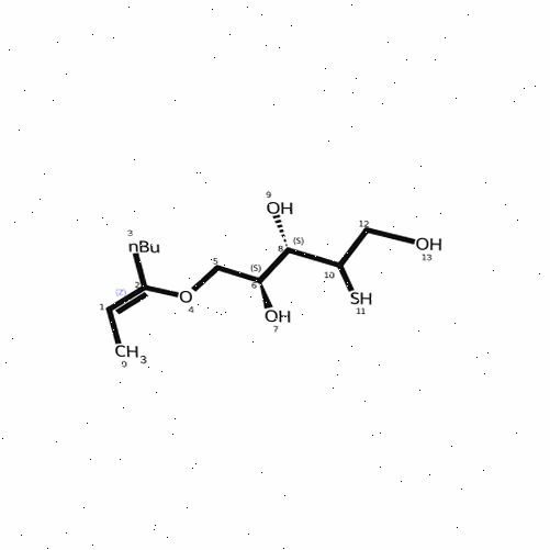 C/C=C(/CCCC)OC[C@H](O)[C@H](O)C(S)CO